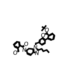 CCCCc1nc2c(n1Cc1ccc(-c3ccccc3C(=O)OC(C)(C)C)cc1)CC(=NC(=O)c1ccccc1C=O)C=C2